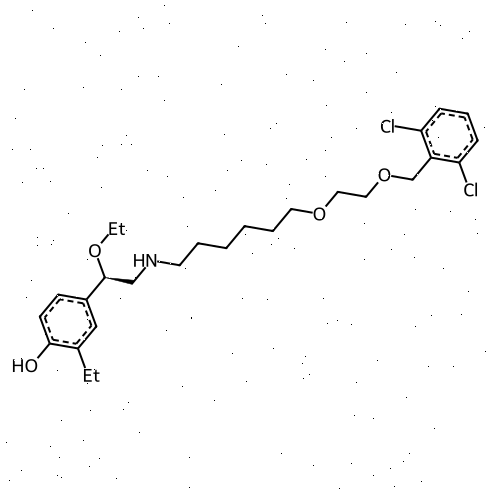 CCO[C@@H](CNCCCCCCOCCOCc1c(Cl)cccc1Cl)c1ccc(O)c(CC)c1